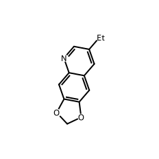 CCc1cnc2cc3c(cc2c1)OCO3